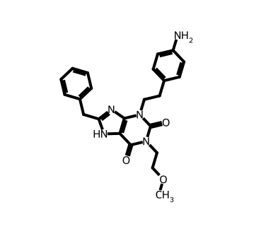 COCCn1c(=O)c2[nH]c(Cc3ccccc3)nc2n(CCc2ccc(N)cc2)c1=O